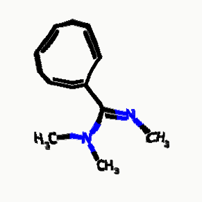 CN=C(c1ccccc1)N(C)C